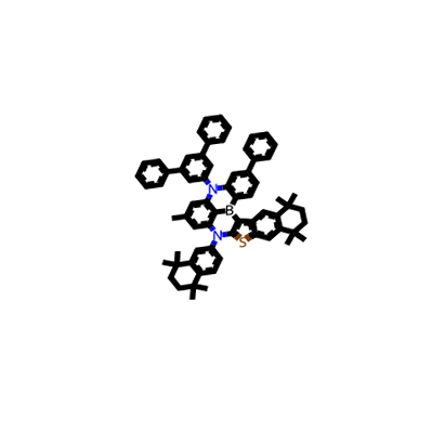 Cc1cc2c3c(c1)N(c1ccc4c(c1)C(C)(C)CCC4(C)C)c1sc4cc5c(cc4c1B3c1ccc(-c3ccccc3)cc1N2c1cc(-c2ccccc2)cc(-c2ccccc2)c1)C(C)(C)CCC5(C)C